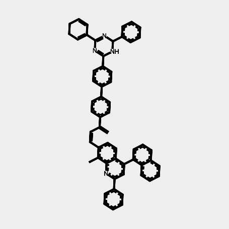 C=C(/C=C\c1ccc2c(-c3cccc4ccccc34)cc(-c3ccccc3)nc2c1C)c1ccc(-c2ccc(C3=NC(C4=CCCC=C4)=NC(c4ccccc4)N3)cc2)cc1